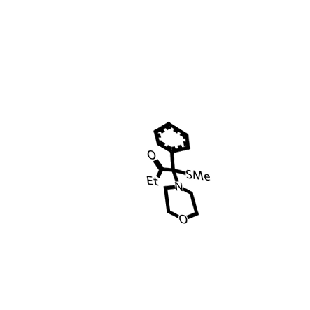 CCC(=O)C(SC)(c1ccccc1)N1CCOCC1